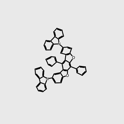 c1ccc(-c2c3oc4ccc(-n5c6ccccc6c6ccccc65)cc4c3c(-c3ccccc3)c3c2oc2ccc(-n4c5ccccc5c5ccccc54)cc23)cc1